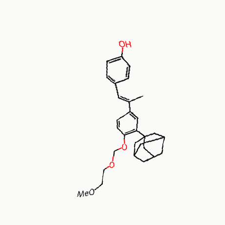 COCCOCOc1ccc(C(C)=Cc2ccc(O)cc2)cc1C12CC3CC(CC(C3)C1)C2